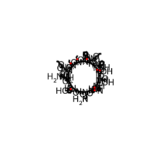 C=CCOC(=O)NCCC[C@@H]1NC(=O)[C@H](CCCC)N(C)C(=O)[C@H](CCCC)N(C)C(=O)[C@H](Cc2csc3ccccc23)NC(=O)[C@H](CCNC(=O)OCC=C)NC(=O)[C@H](Cc2c[nH]c3ccccc23)NC(=O)[C@@H]2C[C@@H](O)CN2C(=O)[C@H](CCC(=O)O)NC(=O)[C@H](Cc2cnc[nH]2)NC(=O)[C@@H]2CCCN2C(=O)[C@H](CCCN)NC(=O)[C@H](C)N(C)C(=O)[C@H](Cc2ccc(O)cc2)NC(=O)CSC[C@@H](C(=O)NCC(N)=O)NC1=O